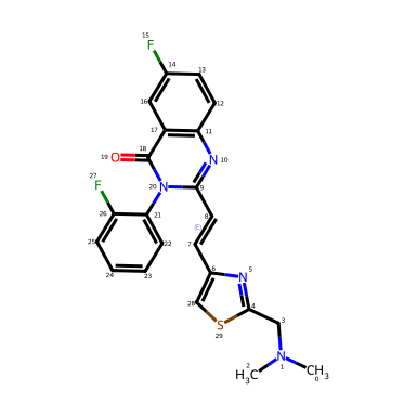 CN(C)Cc1nc(/C=C/c2nc3ccc(F)cc3c(=O)n2-c2ccccc2F)cs1